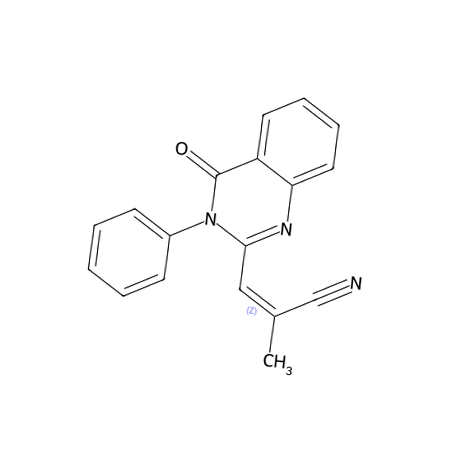 C/C(C#N)=C/c1nc2ccccc2c(=O)n1-c1ccccc1